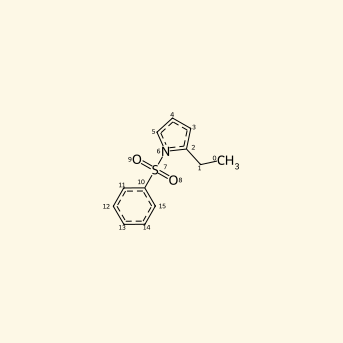 CCc1cccn1S(=O)(=O)c1ccccc1